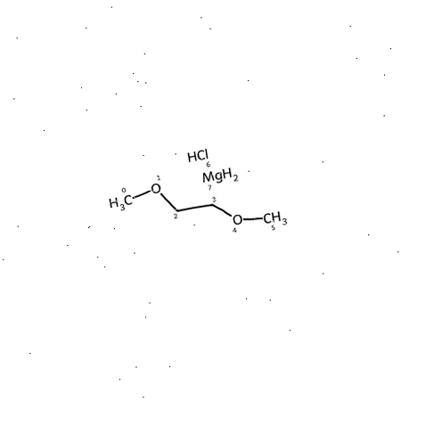 COCCOC.Cl.[MgH2]